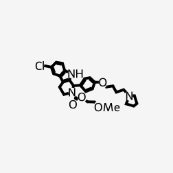 COCCOC(=O)N1CCc2c([nH]c3ccc(Cl)cc23)C1c1ccc(OCCCCN2CCCC2)cc1